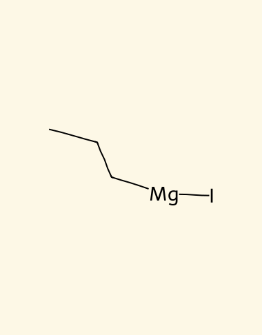 CC[CH2][Mg][I]